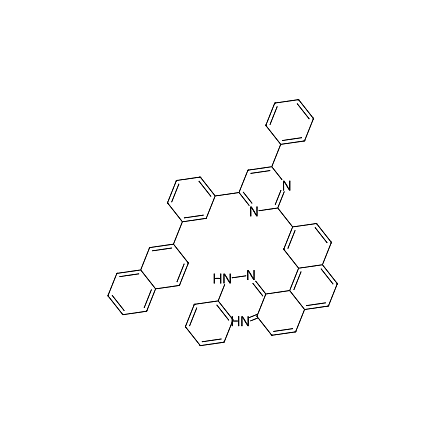 N=C1C=Cc2ccc3ccc(-c4nc(-c5ccccc5)cc(-c5cccc(-c6ccc7ccccc7c6)c5)n4)cc3c2/C1=N/Nc1ccccc1